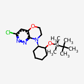 CC(C)(C)[Si](C)(C)OC1CCCC[C@H]1N1CCOc2cc(Cl)nnc21